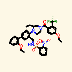 CCOc1ccc(C(=O)N2CCN(c3ccc(-c4ccccc4OCC)cc3CNS(=O)(=O)c3ccccc3[N+](=O)[O-])C(CC)C2)c(C(F)(F)F)c1